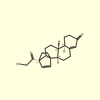 C[C@]12CC[C@H]3[C@@H](CCC4=CC(=O)CC[C@@H]43)C13C=C[C@@]2(C(=O)CO)CC3